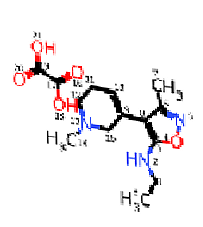 CCNc1onc(C)c1C1=CCCN(C)C1.O=C(O)C(=O)O